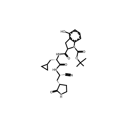 CC(C)(C)OC(=O)N1c2cccc(O)c2CC1C(=O)N[C@@H](CC1CC1)C(=O)N[C@H](C#N)C[C@@H]1CCNC1=O